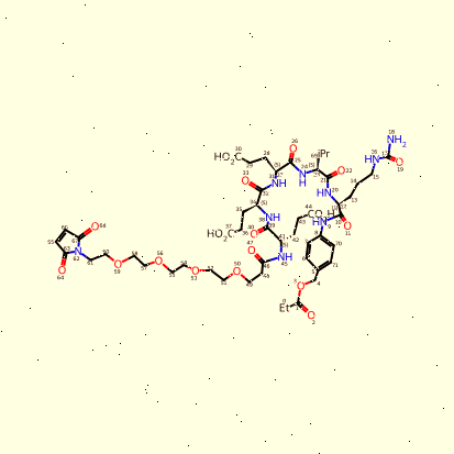 CCC(=O)OCc1ccc(NC(=O)[C@H](CCCNC(N)=O)NC(=O)[C@@H](NC(=O)[C@H](CCC(=O)O)NC(=O)[C@H](CCC(=O)O)NC(=O)[C@H](CCC(=O)O)NC(=O)CCOCCOCCOCCOCCN2C(=O)C=CC2=O)C(C)C)cc1